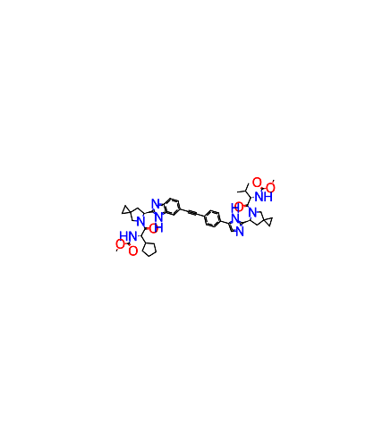 COC(=O)N[C@H](C(=O)N1CC2(CC2)C[C@H]1c1ncc(-c2ccc(C#Cc3ccc4nc([C@@H]5CC6(CC6)CN5C(=O)[C@@H](NC(=O)OC)C5CCCC5)[nH]c4c3)cc2)[nH]1)C(C)C